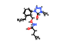 C=Cc1cccc(-n2nnn(C)c2=O)c1CONC(=O)CCC